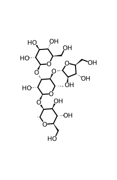 C[C@@H]1O[C@@H](O[C@@H]2[CH]O[C@H](CO)[C@@H](O)[C@@H]2O)[C@H](O)[C@H](O[C@@H]2O[C@H](CO)[C@@H](O)[C@H](O)[C@H]2O)[C@H]1O[C@@H]1O[C@@H](CO)[C@H](O)[C@H]1O